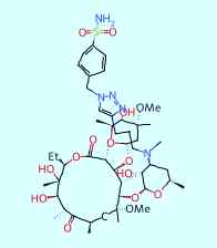 CC[C@H]1OC(=O)[C@H](C)[C@@H](O[C@H]2C[C@@](C)(OC)[C@@H](O)[C@H](C)O2)[C@H](C)[C@@H](O[C@@H]2O[C@H](C)C[C@H](N(C)CCCc3cn(Cc4ccc(S(N)(=O)=O)cc4)nn3)[C@H]2O)[C@](C)(OC)C[C@@H](C)C(=O)[C@H](C)[C@@H](O)[C@]1(C)O